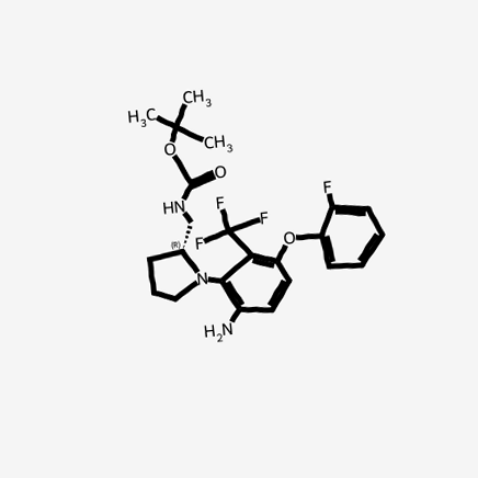 CC(C)(C)OC(=O)NC[C@H]1CCCN1c1c(N)ccc(Oc2ccccc2F)c1C(F)(F)F